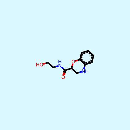 O=C(NCCO)C1CNc2ccccc2O1